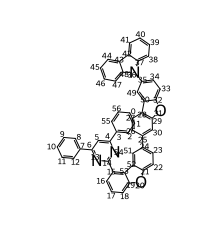 c1ccc(-c2cc(-c3ccccc3)nc(-c3cccc4oc5ccc(-c6ccc7c(c6)oc6ccc(-n8c9ccccc9c9ccccc98)cc67)cc5c34)n2)cc1